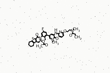 C=CC(=O)N(C)CCOc1cccc(Nc2cc(-c3cc(F)cc(-n4ncc5c6c(sc5c4=O)CCCC6)c3COC(C)=O)cn(C)c2=O)n1